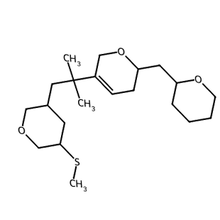 CSC1COCC(CC(C)(C)C2=CCC(CC3CCCCO3)OC2)C1